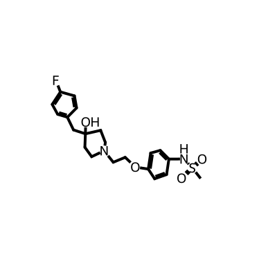 CS(=O)(=O)Nc1ccc(OCCN2CCC(O)(Cc3ccc(F)cc3)CC2)cc1